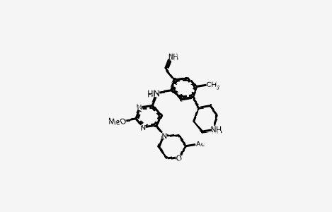 COc1nc(Nc2cc(C3CCNCC3)c(C)cc2C=N)cc(N2CCOC(C(C)=O)C2)n1